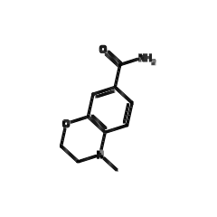 CN1CCOc2cc(C(N)=O)ccc21